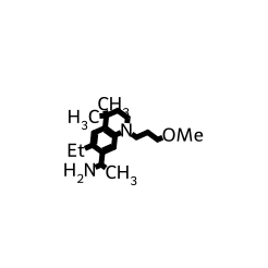 CCc1cc2c(cc1C(C)N)N(CCCOC)CCC2(C)C